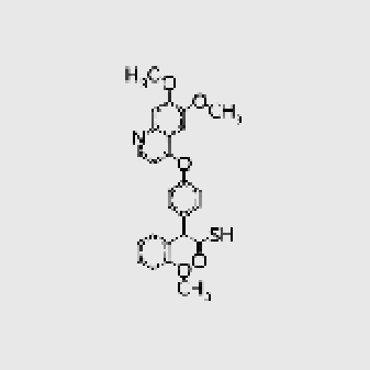 COc1cc2nccc(Oc3ccc(C(C(=O)S)c4ccccc4OC)cc3)c2cc1OC